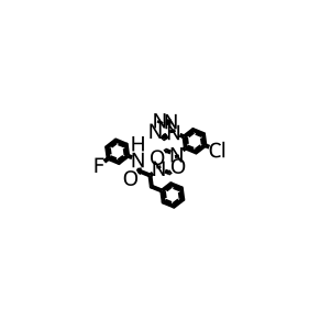 O=C(Nc1cccc(F)c1)C(Cc1ccccc1)N1CON(c2cc(Cl)ccc2-n2cnnn2)CO1